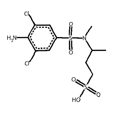 CC(CCS(=O)(=O)O)N(C)S(=O)(=O)c1cc(Cl)c(N)c(Cl)c1